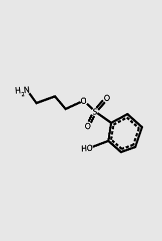 NCCCOS(=O)(=O)c1ccccc1O